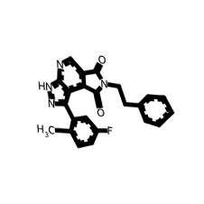 Cc1ccc(F)cc1-c1n[nH]c2ncc3c(c12)C(=O)N(CCc1ccccc1)C3=O